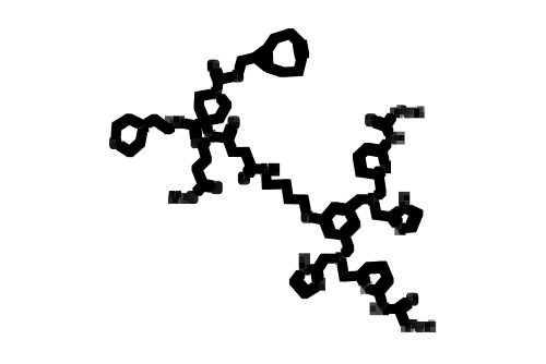 CCCCCC(=O)Nc1cccc(CN(Cc2cc(CN(Cc3cccc(NC(=O)CCCCC)n3)Cc3ncc[nH]3)cc(OCCCCNC(=O)CCC(=O)N(CCCC(=O)OC)C3(C(=O)NCCN4CCOCC4)CCN(C(=O)OCC4C5CCC#CCCC54)CC3)c2)Cc2ncc[nH]2)n1